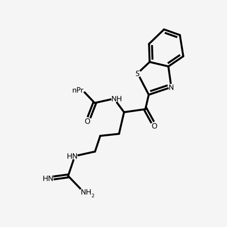 CCCC(=O)NC(CCCNC(=N)N)C(=O)c1nc2ccccc2s1